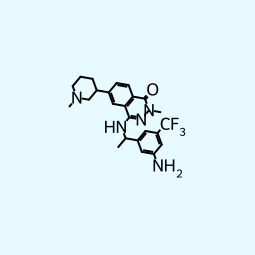 CC(Nc1nn(C)c(=O)c2ccc(C3CCCN(C)C3)cc12)c1cc(N)cc(C(F)(F)F)c1